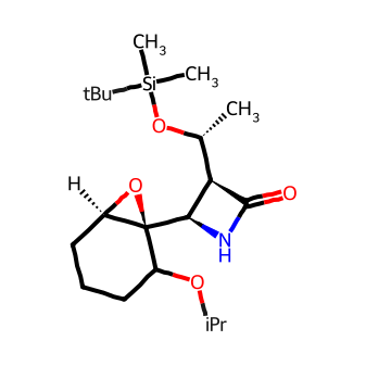 CC(C)OC1CCC[C@H]2O[C@@]12[C@@H]1NC(=O)[C@@H]1[C@@H](C)O[Si](C)(C)C(C)(C)C